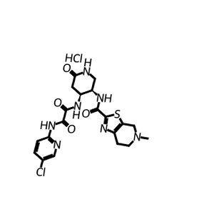 CN1CCc2nc(C(=O)N[C@@H]3CNC(=O)C[C@@H]3NC(=O)C(=O)Nc3ccc(Cl)cn3)sc2C1.Cl